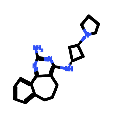 Nc1nc(N[C@H]2C[C@H](N3CCCC3)C2)c2c(n1)-c1ccccc1CCC2